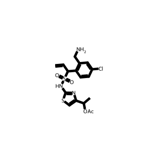 C=CC(c1ccc(Cl)cc1CN)S(=O)(=O)Nc1nc(C(C)OC(C)=O)cs1